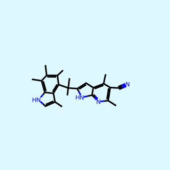 Cc1nc2[nH]c(C(C)(C)c3c(C)c(C)c(C)c4[nH]cc(C)c34)cc2c(C)c1C#N